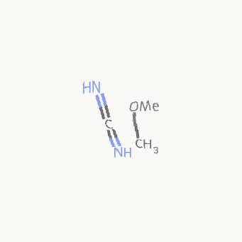 COC.N=C=N